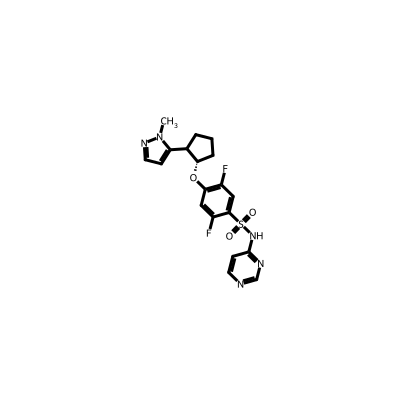 Cn1nccc1C1CCC[C@@H]1Oc1cc(F)c(S(=O)(=O)Nc2ccncn2)cc1F